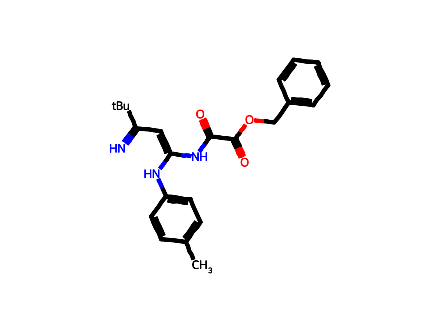 Cc1ccc(N/C(=C\C(=N)C(C)(C)C)NC(=O)C(=O)OCc2ccccc2)cc1